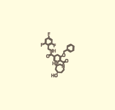 O=C(NCc1c(F)cc(F)cc1F)C1=CN2C(=C(OCc3ccccc3)C1)C(=O)N1CC[C@H](O)C[C@H]2C1